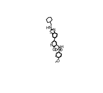 COc1ccc(S(=O)(=O)Nc2cc(-c3ccc4nc(NCC5CCCCC5)sc4c3)cnc2Cl)cc1